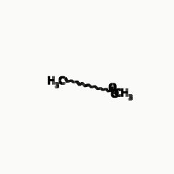 CC=CCCC=CCC=CCCCCCCCC(=O)OC